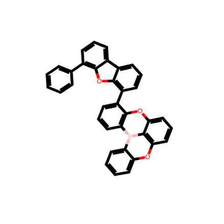 c1ccc(-c2cccc3c2oc2c(-c4cccc5c4Oc4cccc6c4B5c4ccccc4O6)cccc23)cc1